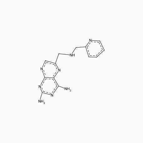 Nc1nc(N)c2nc(CNCc3ccccn3)cnc2n1